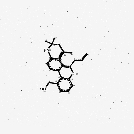 C=CCC1=c2c(ccc3c2=C(C)CC(C)(C)N3)-c2c(CO)cccc2O1